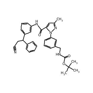 Cc1cc(C(=O)Nc2cccc(C(CC#N)c3ccccc3)c2)n(-c2cccc(CNC(=O)OC(C)(C)C)c2)n1